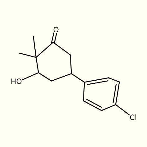 CC1(C)C(=O)CC(c2ccc(Cl)cc2)CC1O